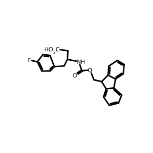 O=C(O)CC(Cc1ccc(F)cc1)NC(=O)OCC1c2ccccc2-c2ccccc21